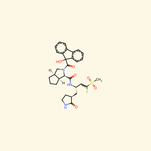 CS(=O)(=O)/C(F)=C/[C@H](C[C@@H]1CCNC1=O)NC(=O)[C@H]1[C@H]2CCC[C@H]2CN1C(=O)C1(O)c2ccccc2-c2ccccc21